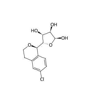 O[C@@H]1[C@H](O)[C@@H]([C@@H]2OCCc3cc(Cl)ccc32)O[C@@H]1O